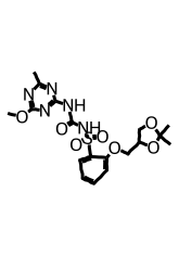 COc1nc(C)nc(NC(=O)NS(=O)(=O)c2ccccc2OCC2COC(C)(C)O2)n1